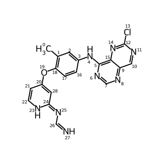 Cc1cc(Nc2ncnc3cnc(Cl)nc23)ccc1Oc1cc[nH]/c(=N\C=N)c1